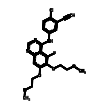 C#Cc1cc(Nc2ncnc3cc(OCCOC)c(OCCOC)c(F)c23)ccc1Cl